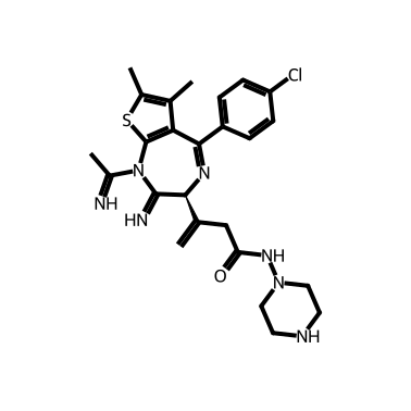 C=C(CC(=O)NN1CCNCC1)[C@@H]1N=C(c2ccc(Cl)cc2)c2c(sc(C)c2C)N(C(C)=N)C1=N